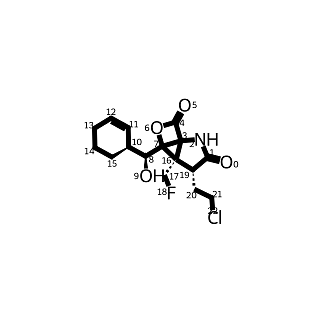 O=C1NC23C(=O)OC2([C@@H](O)[C@@H]2C=CCCC2)[C@]3(CF)[C@H]1CCCl